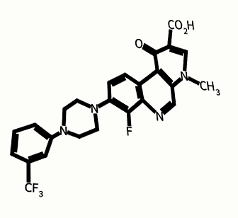 Cn1cc(C(=O)O)c(=O)c2c3ccc(N4CCN(c5cccc(C(F)(F)F)c5)CC4)c(F)c3ncc21